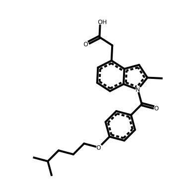 Cc1cc2c(CC(=O)O)cccc2n1C(=O)c1ccc(OCCCC(C)C)cc1